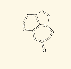 O=c1ccc2c3c(cccc3c1)C=C2